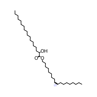 CCCCCCCC/C=C\CCCCCCCCOC(=O)C(O)CCCCCCCCCCCCCCCC